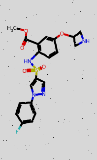 COC(=O)c1cc(OC2CNC2)ccc1NS(=O)(=O)c1cnn(-c2ccc(F)cc2)c1